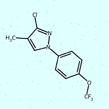 Cc1cn(-c2ccc(OC(F)(F)F)cc2)nc1Cl